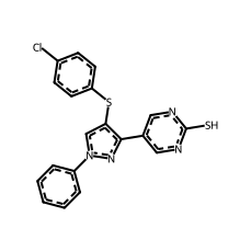 Sc1ncc(-c2nn(-c3ccccc3)cc2Sc2ccc(Cl)cc2)cn1